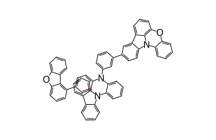 c1cc(-c2ccc3c(c2)c2cccc4c2n3-c2ccccc2O4)cc(N(c2ccc(-c3cccc4oc5ccccc5c34)cc2)c2ccccc2-n2c3ccccc3c3ccccc32)c1